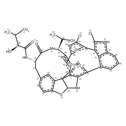 CC(C)[C@H](O)C(=O)N[C@H]1Cc2ccc3c(c2)C24c5cccc(c5NC2O3)-c2cccc3[nH]c(Cl)c(c23)-c2oc(nc2Cl)-c2nc(oc24)[C@H](C(C)C)NC1=O